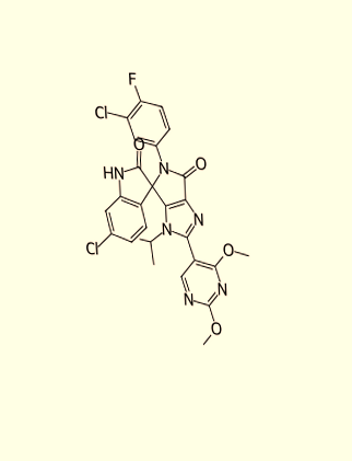 COc1ncc(-c2nc3c(n2C(C)C)C2(C(=O)Nc4cc(Cl)ccc42)N(c2ccc(F)c(Cl)c2)C3=O)c(OC)n1